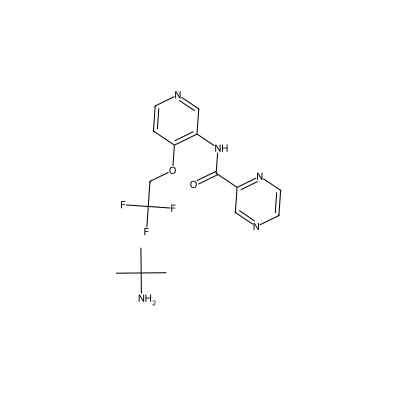 CC(C)(C)N.O=C(Nc1cnccc1OCC(F)(F)F)c1cnccn1